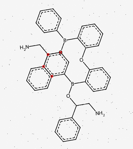 NCC(OB(c1ccccc1)c1ccccc1Oc1ccccc1B(OC(CN)c1ccccc1)c1ccccc1)c1ccccc1